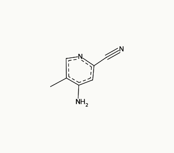 Cc1cnc(C#N)cc1N